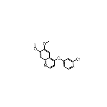 COc1cc2nccc(Oc3cc[c]c(Cl)c3)c2cc1OC